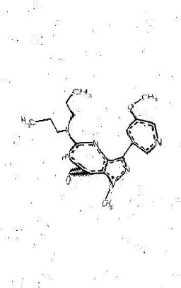 CCCN(CCC)c1nc2c(-c3cncc(OC)c3)nn(C)c2c(=O)[nH]1